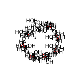 N[C@H]1[C@H](O)[C@H]2O[C@H]3[C@H](O)[C@@H](O)[C@@H](O[C@H]4[C@H](O)[C@@H](O)[C@@H](O[C@H]5[C@H](O)[C@@H](O)[C@@H](O[C@H]6[C@H](O)[C@@H](O)[C@@H](O[C@H]7[C@H](O)[C@@H](O)[C@@H](O[C@H]8[C@H](O)[C@@H](O)[C@@H](O[C@H]9[C@H](O)[C@@H](O)[C@@H](O[C@@H]1[C@@H](CO)O2)O[C@@H]9CO)O[C@@H]8CO)O[C@@H]7CO)O[C@@H]6CO)O[C@@H]5CO)O[C@@H]4CO)O[C@@H]3CO